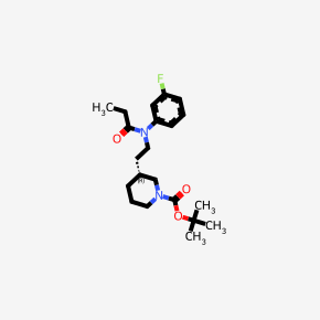 CCC(=O)N(CC[C@H]1CCCN(C(=O)OC(C)(C)C)C1)c1cccc(F)c1